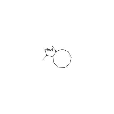 CCCCCCCC(C)C1CCCCCCCN1C